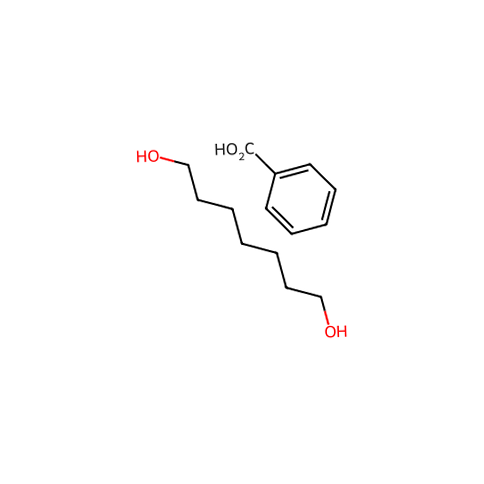 O=C(O)c1ccccc1.OCCCCCCCO